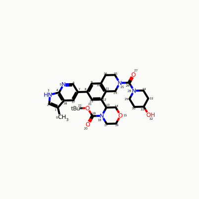 Cc1c[nH]c2ncc(-c3cc4c(c(C5COCCN5C(=O)OC(C)(C)C)c3)CN(C(=O)N3CCC(O)CC3)CC4)cc12